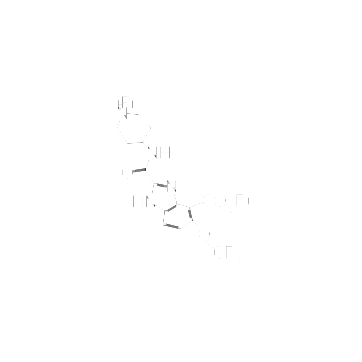 CCOC(=O)c1c(OCC(F)(F)F)ccc2[nH]c(C(=O)NC3CCN(C(C)C)CC3)nc12